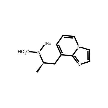 C[C@H](Cc1cccn2ccnc12)N(C(=O)O)C(C)(C)C